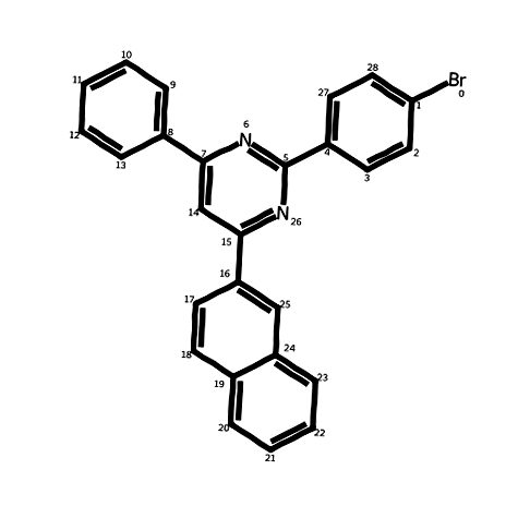 Brc1ccc(-c2nc(-c3ccccc3)cc(-c3ccc4ccccc4c3)n2)cc1